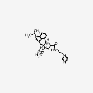 CC(C)n1cc2c3c(cccc31)[C@H]1CC(C(=O)NCCCn3ccnc3)CN(C)[C@@H]1C2.O.O